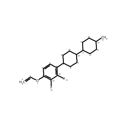 C=COc1ccc(C2CCC(C3CCC(C)CC3)CC2)c(F)c1F